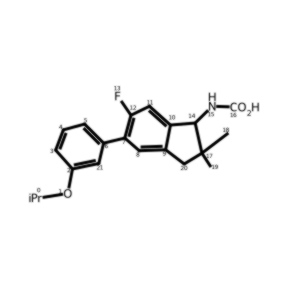 CC(C)Oc1cccc(-c2cc3c(cc2F)C(NC(=O)O)C(C)(C)C3)c1